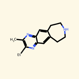 CCc1nc2cc3c(cc2nc1C)CCNCC3